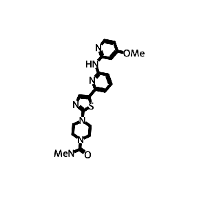 CNC(=O)N1CCN(c2ncc(-c3cccc(Nc4cc(OC)ccn4)n3)s2)CC1